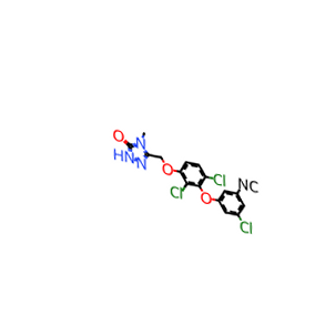 [C-]#[N+]c1cc(Cl)cc(Oc2c(Cl)ccc(OCc3n[nH]c(=O)n3C)c2Cl)c1